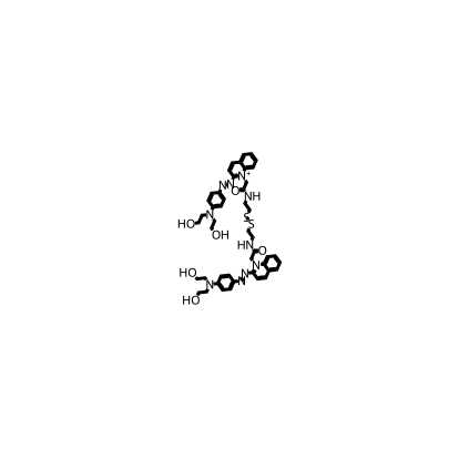 O=C(C[n+]1c(/N=N/c2ccc(N(CCO)CCO)cc2)ccc2ccccc21)NCCSSCCNC(=O)C[n+]1c(/N=N/c2ccc(N(CCO)CCO)cc2)ccc2ccccc21